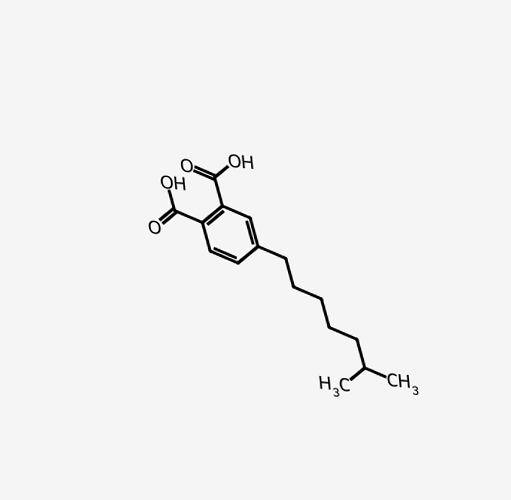 CC(C)CCCCCc1ccc(C(=O)O)c(C(=O)O)c1